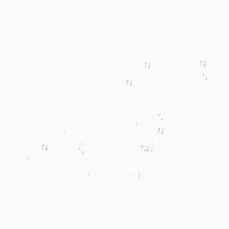 Cn1cc(-c2cnc3[nH]cc(-c4nnc(Nc5ccc(C(=O)NCC(=O)N6CCCC6)cc5Cl)o4)c3c2)cn1